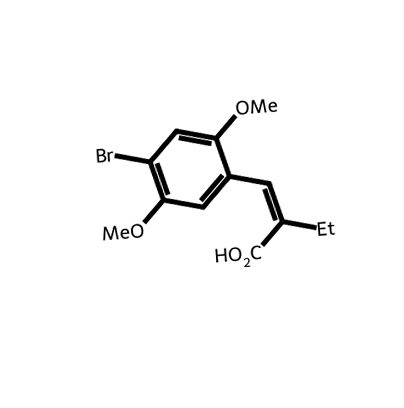 CCC(=Cc1cc(OC)c(Br)cc1OC)C(=O)O